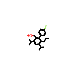 CCCc1c(C(C)C)cc(C(C)C)c(CO)c1-c1ccc(F)cc1